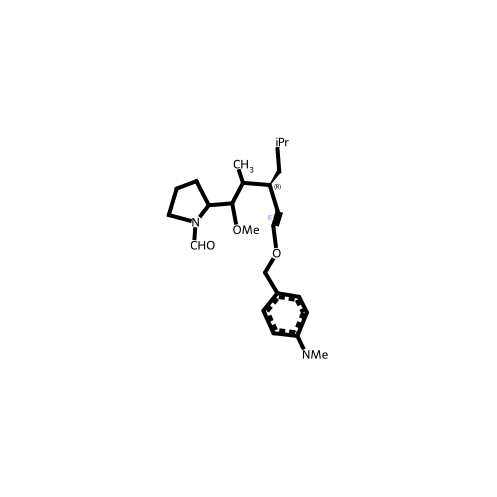 CNc1ccc(CO/C=C/[C@H](CC(C)C)C(C)C(OC)C2CCCN2C=O)cc1